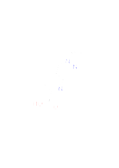 Cc1nc(C(=O)O)ccc1Cn1cccn1